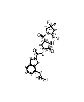 CCNCc1cccc2c1CN(C(=O)C[C@@H]1C[C@@H](C(=O)N3CC(F)(F)C[C@H]3C#N)NC1=O)C2